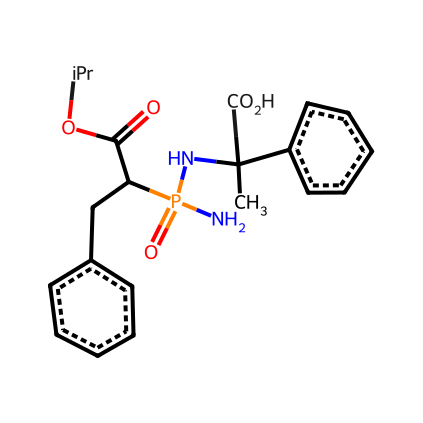 CC(C)OC(=O)C(Cc1ccccc1)P(N)(=O)NC(C)(C(=O)O)c1ccccc1